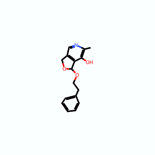 Cc1ncc2c(c1O)C(OCCc1ccccc1)OC2